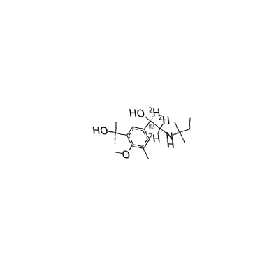 [2H]C([2H])(NC(C)(C)CC)[C@]([2H])(O)c1cc(C)c(OC)c(C(C)(C)O)c1